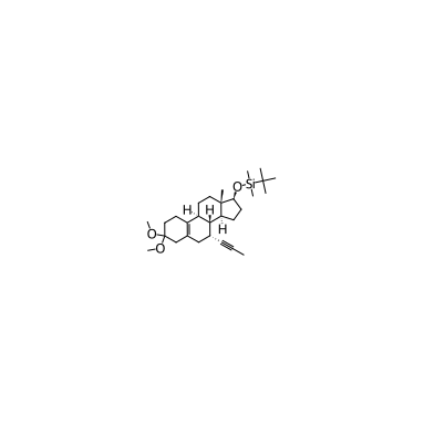 CC#C[C@@H]1CC2=C(CCC(OC)(OC)C2)[C@H]2CC[C@]3(C)[C@@H](O[Si](C)(C)C(C)(C)C)CC[C@H]3[C@H]12